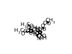 CC(=O)OCOC(=O)Nc1cc2c(=O)[nH]ncc3nn(C4OC(COC(C)=O)C(OC(C)=O)C4(C)O)cc1c32